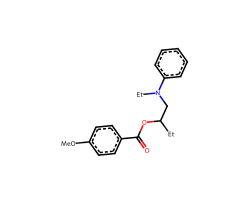 CCC(CN(CC)c1ccccc1)OC(=O)c1ccc(OC)cc1